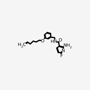 C=CCCCCOc1cccc(CNC(=O)c2ccc(F)nc2N)c1